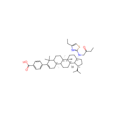 CCC(=O)CN(c1nc(CC)cs1)[C@]12CC[C@@H](C(C)C)C1[C@H]1CCC3[C@@]4(C)CC=C(c5ccc(C(=O)O)cc5)C(C)(C)C4CC[C@@]3(C)[C@]1(C)CC2